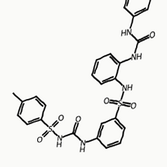 Cc1ccc(S(=O)(=O)NC(=O)Nc2cccc(S(=O)(=O)Nc3ccccc3NC(=O)Nc3ccccc3)c2)cc1